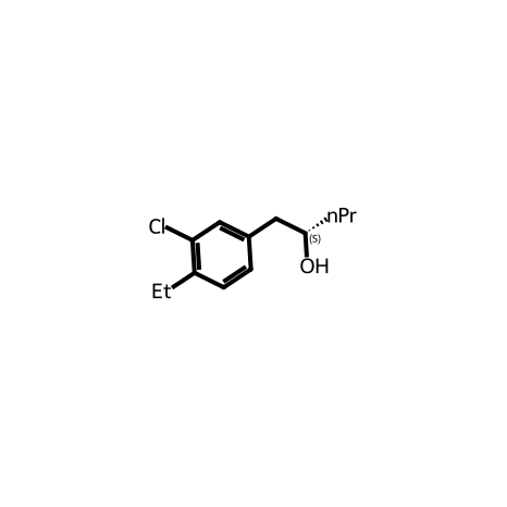 CCC[C@H](O)Cc1ccc(CC)c(Cl)c1